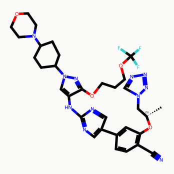 C[C@@H](Cn1cnnn1)Oc1cc(-c2cnc(Nc3cn(C4CCC(N5CCOCC5)CC4)nc3OCCCOC(F)(F)F)nc2)ccc1C#N